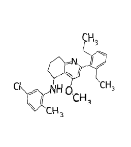 CCc1cccc(CC)c1-c1cc(OC)c2c(n1)CCCC2Nc1cc(Cl)ccc1C